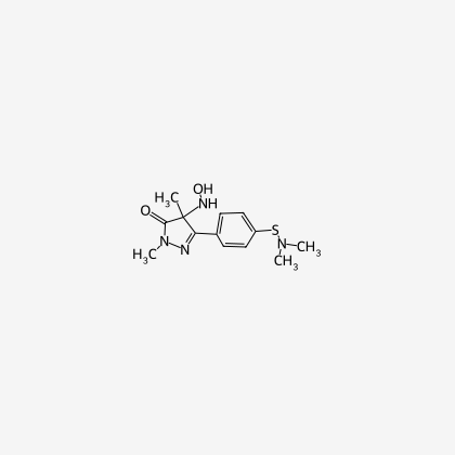 CN(C)Sc1ccc(C2=NN(C)C(=O)C2(C)NO)cc1